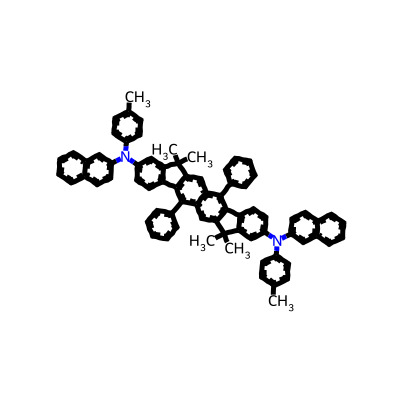 Cc1ccc(N(c2ccc3c(c2)C(C)(C)c2cc4c(-c5ccccc5)c5c(cc4c(-c4ccccc4)c2-3)C(C)(C)c2cc(N(c3ccc(C)cc3)c3ccc4ccccc4c3)ccc2-5)c2ccc3ccccc3c2)cc1